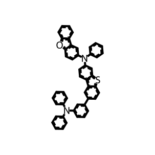 c1ccc(N(c2ccccc2)c2cccc(-c3ccc4sc5cc(N(c6ccccc6)c6ccc7oc8ccccc8c7c6)ccc5c4c3)c2)cc1